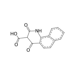 O=C(O)C1C(=O)Nc2c(ccc3ccccc23)C1=O